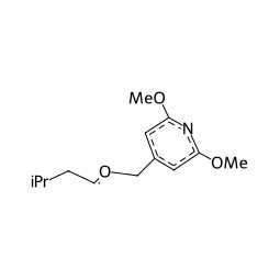 COc1cc(CO[CH]CC(C)C)cc(OC)n1